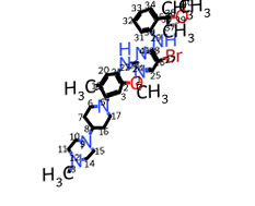 COc1cc(N2CCC(N3CCN(C)CC3)CC2)c(C)cc1Nc1ncc(Br)c(Nc2ccccc2C(C)(C)OC)n1